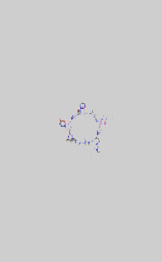 CCc1csc(-c2ccc3c(n2)-c2csc(n2)-c2csc(n2)[C@@H]2[C@@H](C)[C@@H](O)CN2C(=O)[C@H](Cc2ccc(O)cc2)NC(=O)c2csc(n2)[C@H]([C@H](O)c2ccccc2)NC(=O)c2nc(sc2C)[C@H](CC(N)=O)NC(=O)c2csc-3n2)n1